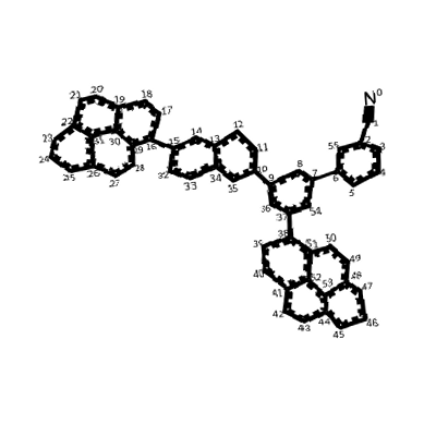 N#Cc1cccc(-c2cc(-c3ccc4cc(-c5ccc6ccc7cccc8ccc5c6c78)ccc4c3)cc(-c3ccc4ccc5cccc6ccc3c4c56)c2)c1